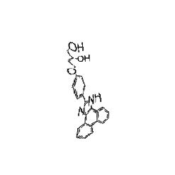 OC[C@@H](O)CCOc1ccc(-c2nc3c4ccccc4c4ccccc4c3[nH]2)cc1